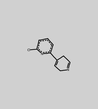 Clc1cccc(C2=CCN=CC2)n1